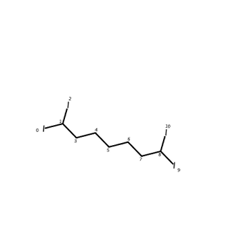 IC(I)CCCCCC(I)I